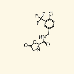 O=C1CN=C(C(=O)NCc2ccc(Cl)c(C(F)(F)F)c2)O1